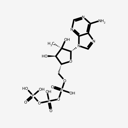 C[C@@]1(O)[C@H](O)[C@@H](COP(=O)(O)OP(=O)(O)OP(=O)(O)O)O[C@H]1n1cnc2c(N)ncnc21